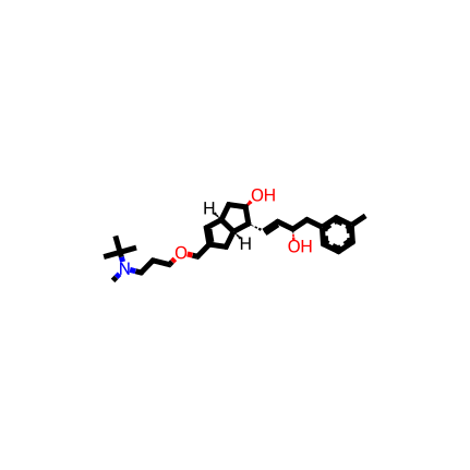 Cc1cccc(C[C@H](O)/C=C/[C@@H]2[C@H]3CC(COCCCN(C)C(C)(C)C)=C[C@H]3C[C@H]2O)c1